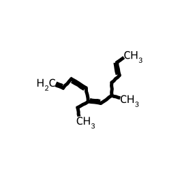 C=C/C=C\C(=C/C(C)C/C=C/C)CC